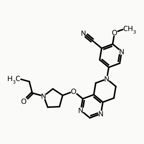 CCC(=O)N1CCC(Oc2ncnc3c2CN(c2cnc(OC)c(C#N)c2)CC3)C1